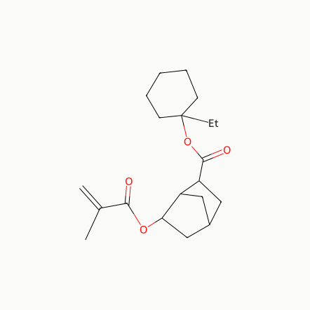 C=C(C)C(=O)OC1CC2CC(C(=O)OC3(CC)CCCCC3)C1C2